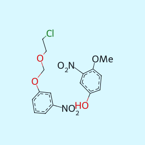 COc1ccc(O)cc1[N+](=O)[O-].O=[N+]([O-])c1cccc(OCOCCCl)c1